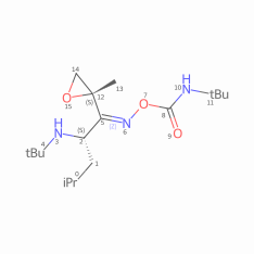 CC(C)C[C@H](NC(C)(C)C)/C(=N/OC(=O)NC(C)(C)C)[C@@]1(C)CO1